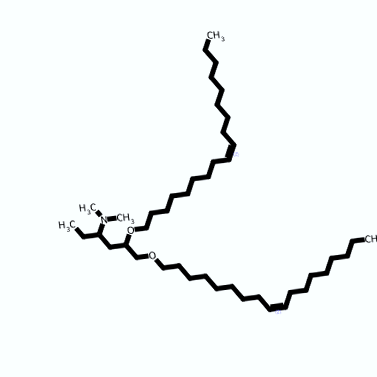 CCCCCCCC/C=C\CCCCCCCCOCC(CC(CC)N(C)C)OCCCCCCCC/C=C\CCCCCCCC